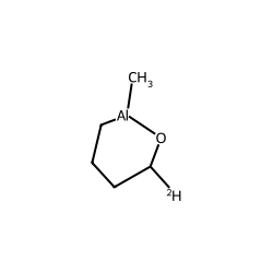 [2H]C1CC[CH2][Al]([CH3])[O]1